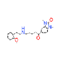 COc1ccccc1CCNCCCCC(=O)c1ccc2c(c1)n(C)c(=O)n2C